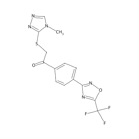 Cn1cnnc1SCC(=O)c1ccc(-c2noc(C(F)(F)F)n2)cc1